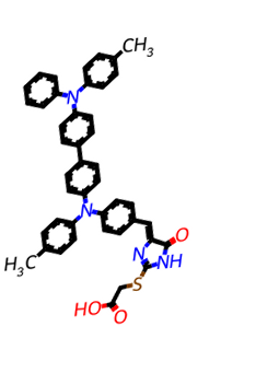 Cc1ccc(N(c2ccccc2)c2ccc(-c3ccc(N(c4ccc(C)cc4)c4ccc(/C=C5\N=C(SCC(=O)O)NC5=O)cc4)cc3)cc2)cc1